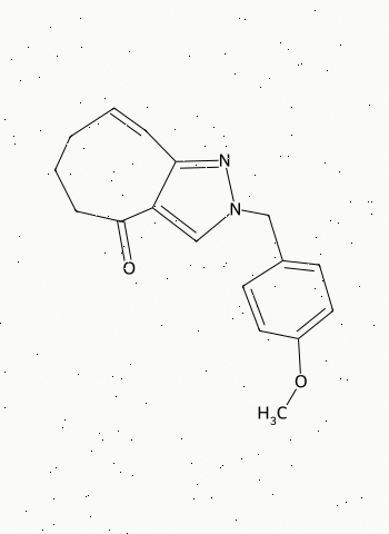 COc1ccc(Cn2cc3c(n2)C=CCCCC3=O)cc1